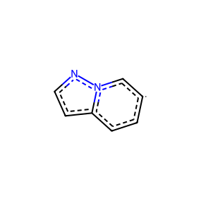 [c]1ccc2ccnn2c1